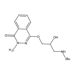 Cn1nc(OCC(O)CNC(C)(C)C)c2ccccc2c1=O